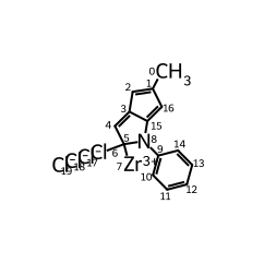 CC1=CC2=C[C](Cl)([Zr+3])N(c3ccccc3)C2=C1.[Cl-].[Cl-].[Cl-]